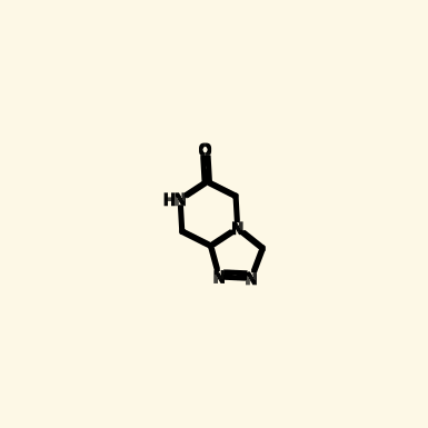 O=C1CN2CN=NC2CN1